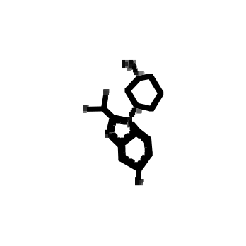 N[C@@H]1CCC[C@H](n2c(C(F)F)nc3cc(Br)ccc32)C1